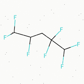 F[C](F)C(F)CC(F)(F)C(F)F